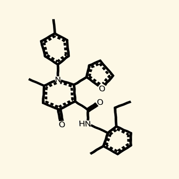 CCc1cccc(C)c1NC(=O)c1c(-c2ccco2)n(-c2ccc(C)cc2)c(C)cc1=O